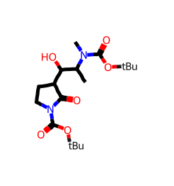 CC(C(O)C1CCN(C(=O)OC(C)(C)C)C1=O)N(C)C(=O)OC(C)(C)C